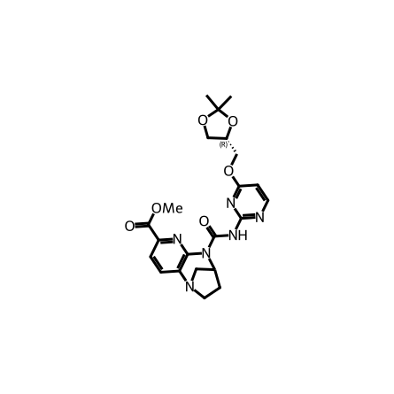 COC(=O)c1ccc2c(n1)N(C(=O)Nc1nccc(OC[C@@H]3COC(C)(C)O3)n1)C1CCN2C1